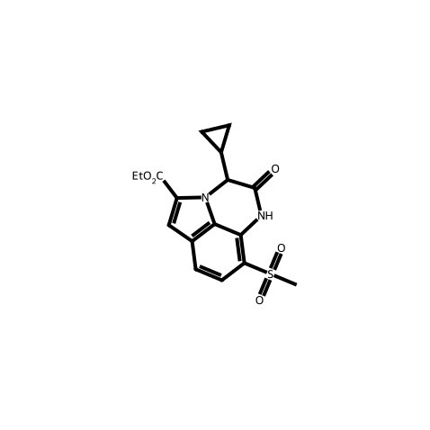 CCOC(=O)c1cc2ccc(S(C)(=O)=O)c3c2n1C(C1CC1)C(=O)N3